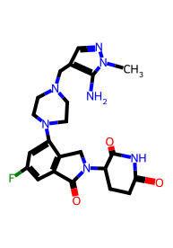 Cn1ncc(CN2CCN(c3cc(F)cc4c3CN(C3CCC(=O)NC3=O)C4=O)CC2)c1N